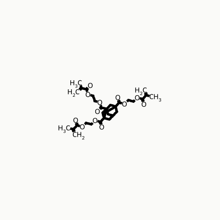 C=C(C)C(=O)OCCOC(=O)C12CC3CC(C(=O)OCCOC(=O)C(=C)C)(C1)CC(C(=O)OCCOC(=O)C(=C)C)(C3)C2